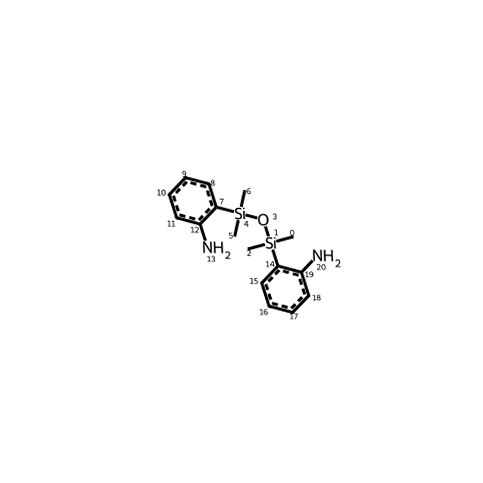 C[Si](C)(O[Si](C)(C)c1ccccc1N)c1ccccc1N